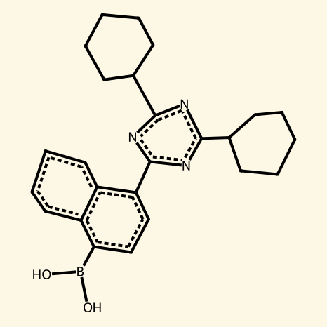 OB(O)c1ccc(-c2nc(C3CCCCC3)nc(C3CCCCC3)n2)c2ccccc12